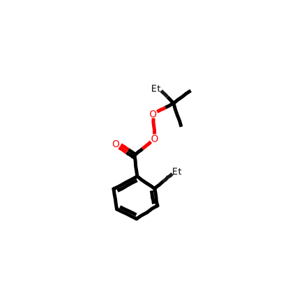 CCc1ccccc1C(=O)OOC(C)(C)CC